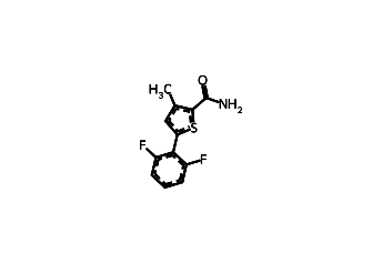 Cc1cc(-c2c(F)cccc2F)sc1C(N)=O